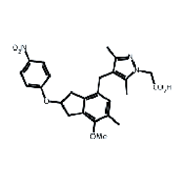 COc1c(C)cc(Cc2c(C)nn(CC(=O)O)c2C)c2c1CC(Oc1ccc([N+](=O)[O-])cc1)C2